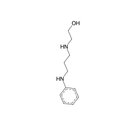 OCCNCCCNc1ccccc1